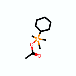 CC(=O)OP(C)(C)(C)C1CCCCC1